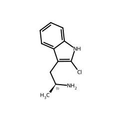 C[C@H](N)Cc1c(Cl)[nH]c2ccccc12